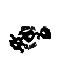 CCOC(=O)Nc1cc(OC(=O)c2cccnc2)ccc1-c1cc(=O)c2cccc(F)c2n1C(=O)OCC